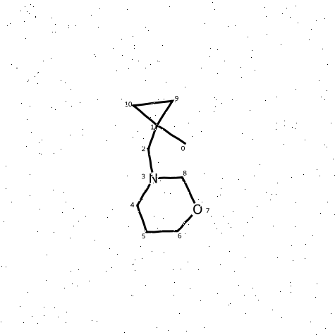 CC1(CN2CCCOC2)CC1